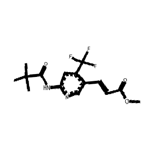 COC(=O)C=Cc1cnc(NC(=O)C(C)(C)C)cc1C(F)(F)F